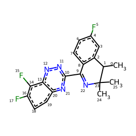 CC1c2cc(F)ccc2C(c2nnc3c(F)c(F)ccc3n2)=NC1(C)C